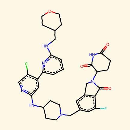 O=C1CCC(N2Cc3cc(CN4CCC(Nc5cc(-c6cccc(NCC7CCOCC7)n6)c(Cl)cn5)CC4)cc(F)c3C2=O)C(=O)N1